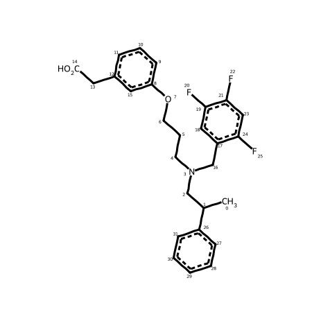 CC(CN(CCCOc1cccc(CC(=O)O)c1)Cc1cc(F)c(F)cc1F)c1ccccc1